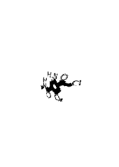 CNC(=O)c1cc(N)c(C(=O)CCl)cc1OC